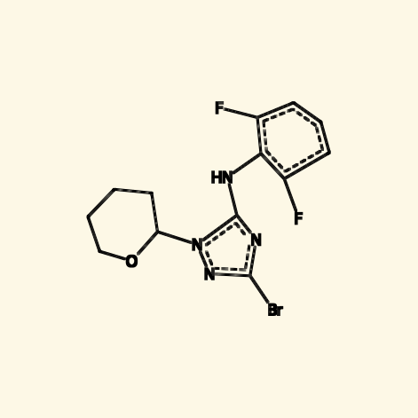 Fc1cccc(F)c1Nc1nc(Br)nn1C1CCCCO1